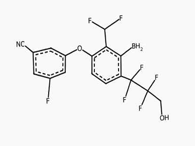 Bc1c(C(F)(F)C(F)(F)CO)ccc(Oc2cc(F)cc(C#N)c2)c1C(F)F